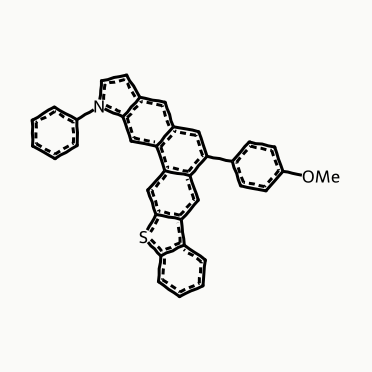 COc1ccc(-c2cc3cc4ccn(-c5ccccc5)c4cc3c3cc4sc5ccccc5c4cc23)cc1